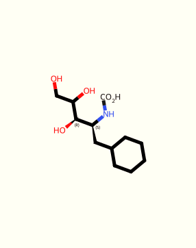 O=C(O)N[C@@H](CC1CCCCC1)[C@@H](O)C(O)CO